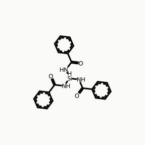 O=C(N[SiH](NC(=O)c1ccccc1)NC(=O)c1ccccc1)c1ccccc1